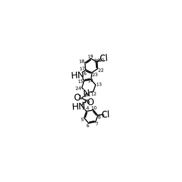 O=S(=O)(Nc1cccc(Cl)c1)N1CCc2c([nH]c3ccc(Cl)cc23)C1